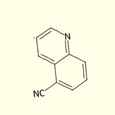 N#Cc1cccc2nc[c]cc12